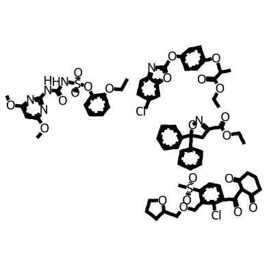 CCOC(=O)C(C)Oc1ccc(Oc2nc3ccc(Cl)cc3o2)cc1.CCOC(=O)C1=NOC(c2ccccc2)(c2ccccc2)C1.CCOc1ccccc1OS(=O)(=O)NC(=O)Nc1nc(OC)cc(OC)n1.CS(=O)(=O)c1ccc(C(=O)C2C(=O)CCCC2=O)c(Cl)c1COCC1CCCO1